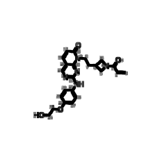 C=CC(=O)N1CC(CCn2c(=O)ccc3cnc(Nc4ccc(OCCO)cc4)nc32)C1